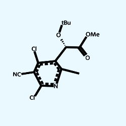 COC(=O)[C@@H](OC(C)(C)C)c1c(C)nc(Cl)c(C#N)c1Cl